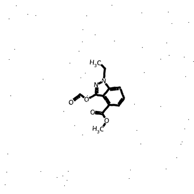 CCn1nc(OC=O)c2c(C(=O)OC)cccc21